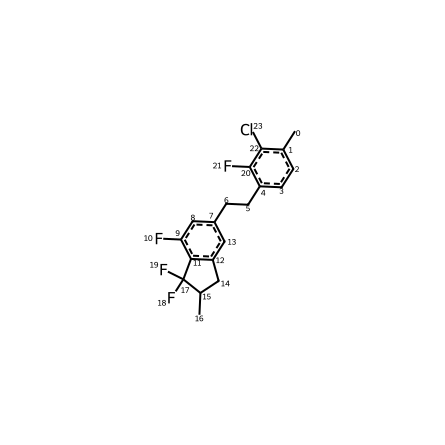 Cc1ccc(CCc2cc(F)c3c(c2)CC(C)C3(F)F)c(F)c1Cl